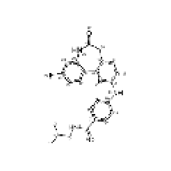 CC(C)CNC(=O)c1ccc(Nc2ncc3c(n2)-c2ccc(I)cc2NC(=O)C3)cc1